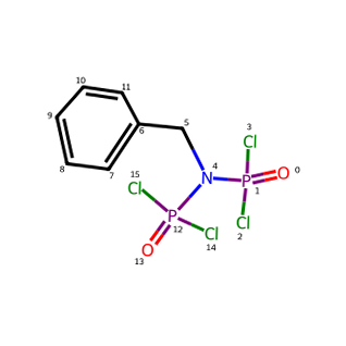 O=P(Cl)(Cl)N(Cc1ccccc1)P(=O)(Cl)Cl